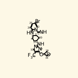 N=C([C@H]1CCC[C@@H](Nc2ncc(C(F)(F)F)c(OC3COC3)n2)C1)n1cc(Br)ccc1=N